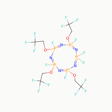 FC(F)(F)COP1(F)=NP(F)(F)=NP(F)(OCC(F)(F)F)=NP(F)(OCC(F)(F)F)=NP(F)(OCC(F)(F)F)=N1